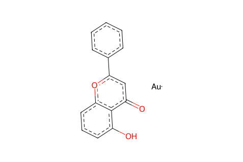 O=c1cc(-c2ccccc2)oc2cccc(O)c12.[Au]